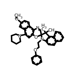 COc1ccc2c3c(cc(N4CCCCC4)c2c1)OC1(C=N3)N(CCOc2ccccc2)c2ccc3ccccc3c2C1(C)C